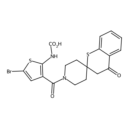 O=C(O)Nc1sc(Br)cc1C(=O)N1CCC2(CC1)CC(=O)c1ccccc1S2